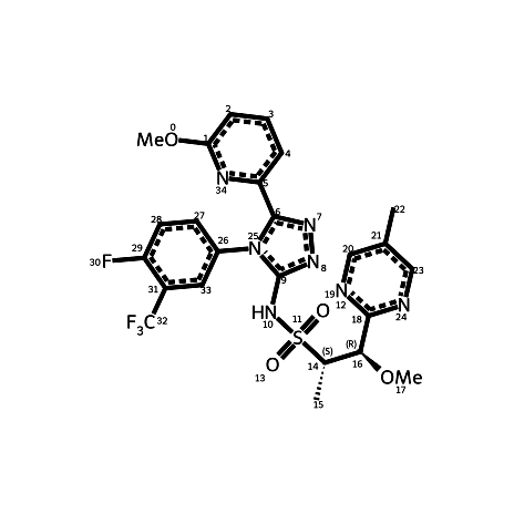 COc1cccc(-c2nnc(NS(=O)(=O)[C@@H](C)[C@H](OC)c3ncc(C)cn3)n2-c2ccc(F)c(C(F)(F)F)c2)n1